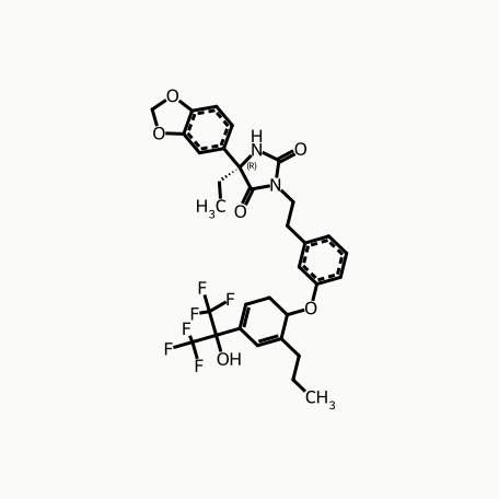 CCCC1=CC(C(O)(C(F)(F)F)C(F)(F)F)=CCC1Oc1cccc(CCN2C(=O)N[C@](CC)(c3ccc4c(c3)OCO4)C2=O)c1